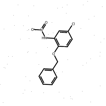 O=[N+]([O-])Nc1cc(Cl)ccc1OCc1ccccc1